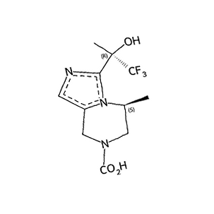 C[C@H]1CN(C(=O)O)Cc2cnc([C@@](C)(O)C(F)(F)F)n21